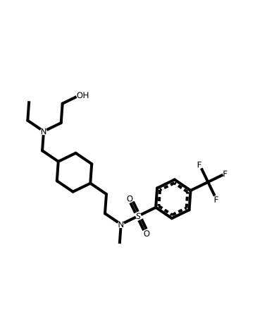 CCN(CCO)CC1CCC(CCN(C)S(=O)(=O)c2ccc(C(F)(F)F)cc2)CC1